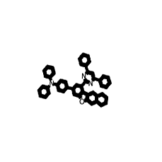 c1ccc(-c2cc(-c3ccccc3)nc(-c3cc(-c4ccc(N(c5ccccc5)c5ccccc5)cc4)cc4oc5cc6ccccc6cc5c34)n2)cc1